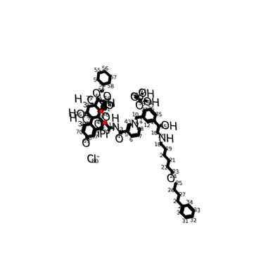 CC(C)C(NC(=O)c1ccc[n+](Cc2cc(C(O)CNCCCCCCOCCCCc3ccccc3)ccc2OP(=O)(O)O)c1)C(=O)OCC(=O)[C@@]12O[C@H](C3CCCCC3)O[C@H]1CC1C3CCC4=CC(=O)C=C[C@]4(C)C3[C@@H](O)C[C@@]12C.[Cl-]